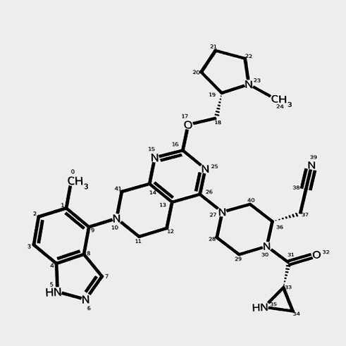 Cc1ccc2[nH]ncc2c1N1CCc2c(nc(OC[C@@H]3CCCN3C)nc2N2CCN(C(=O)[C@@H]3CN3)[C@@H](CC#N)C2)C1